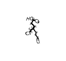 O=C(O)CCC(CCl)CCCCl